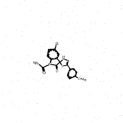 CCCC(=O)N1C(=O)C2(NN=C(c3ccc(OC)cc3)S2)c2cc(CC)ccc21